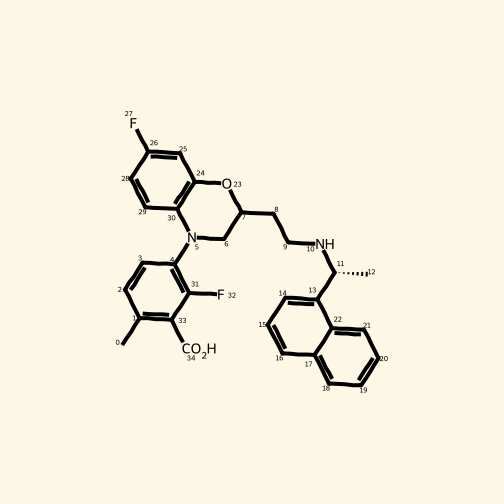 Cc1ccc(N2CC(CCN[C@H](C)c3cccc4ccccc34)Oc3cc(F)ccc32)c(F)c1C(=O)O